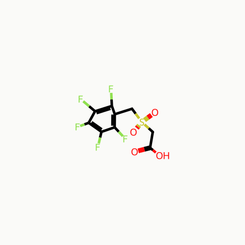 O=C(O)CS(=O)(=O)Cc1c(F)c(F)c(F)c(F)c1F